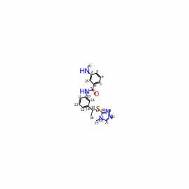 CNc1cccc(C(=O)Nc2cccc([C@H](C)Sc3nncn3C)c2)c1